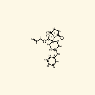 C=CCOC(=O)C1(N2C(=O)CCC2=O)CCN(Cc2ccccc2)CC1